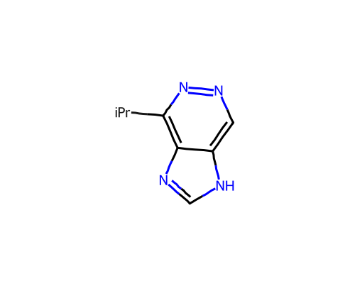 CC(C)c1nncc2[nH]cnc12